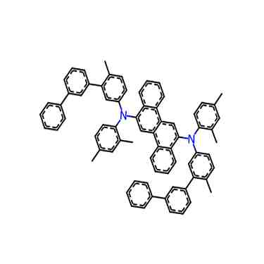 Cc1ccc(N(c2ccc(C)c(-c3cccc(-c4ccccc4)c3)c2)c2cc3c4ccccc4c(N(c4ccc(C)c(-c5cccc(-c6ccccc6)c5)c4)c4ccc(C)cc4C)cc3c3ccccc23)c(C)c1